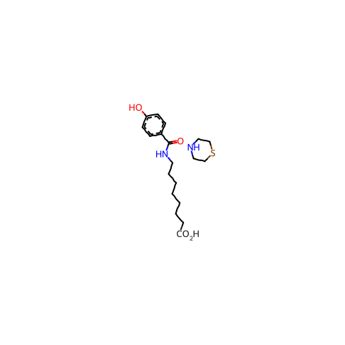 C1CSCCN1.O=C(O)CCCCCCCNC(=O)c1ccc(O)cc1